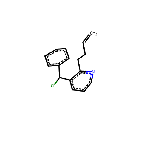 C=CCCc1ncccc1C(Cl)c1ccccc1